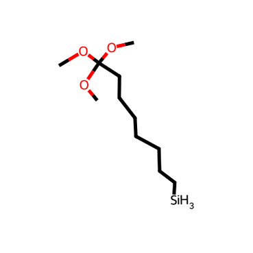 COC(CCCCCCC[SiH3])(OC)OC